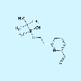 CC(C)(C)[Si](C)(C)OCCc1cccc(C=O)n1